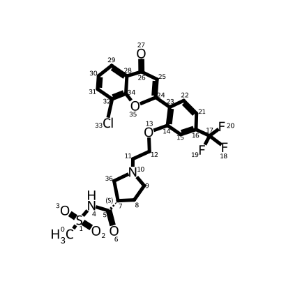 CS(=O)(=O)NC(=O)[C@H]1CCN(CCOc2cc(C(F)(F)F)ccc2-c2cc(=O)c3cccc(Cl)c3o2)C1